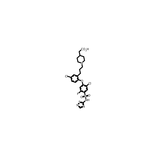 O=C(O)CC1CCN(CCCc2cc(Cl)ccc2Oc2cc(F)c(S(=O)(=O)Nc3ncns3)cc2Cl)CC1